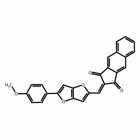 COc1ccc(-c2cc3oc(C=C4C(=O)c5cc6ccccc6cc5C4=O)cc3o2)cc1